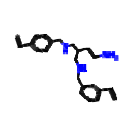 C=Cc1ccc(CNCC(CCN)CNCc2cccc(C=C)c2)cc1